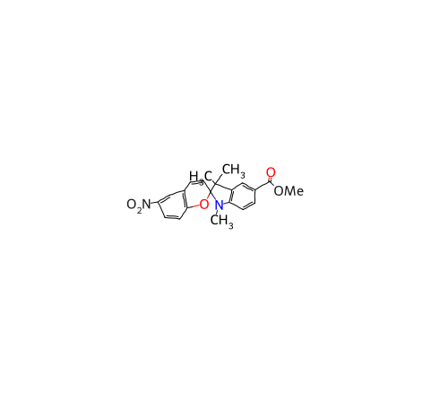 COC(=O)c1ccc2c(c1)C(C)(C)C1(C=Cc3cc([N+](=O)[O-])ccc3O1)N2C